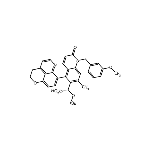 Cc1cc2c(ccc(=O)n2Cc2cccc(OC(F)(F)F)c2)c(-c2ccc3c4c(ccnc24)CCO3)c1[C@H](OC(C)(C)C)C(=O)O